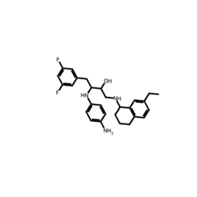 CCc1ccc2c(c1)C(NCC(O)C(Cc1cc(F)cc(F)c1)Nc1ccc(N)cc1)CCC2